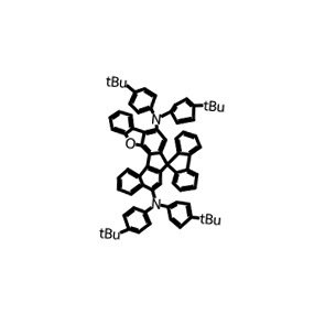 CC(C)(C)c1ccc(N(c2ccc(C(C)(C)C)cc2)c2cc3c(c4ccccc24)-c2c(cc(N(c4ccc(C(C)(C)C)cc4)c4ccc(C(C)(C)C)cc4)c4c2oc2ccccc24)C32c3ccccc3-c3ccccc32)cc1